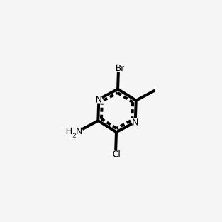 Cc1nc(Cl)c(N)nc1Br